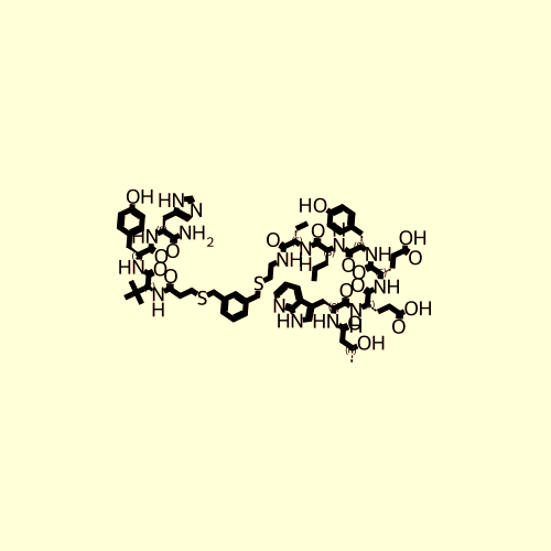 CCC[C@H](NC(=O)[C@H](Cc1ccc(O)cc1)NC(=O)[C@H](CCC(=O)O)NC(=O)[C@H](CCC(=O)O)NC(=O)[C@H](Cc1c[nH]c2ncccc12)NC(=O)C[C@@H](C)O)C(=O)N[C@@H](CC)C(=O)NCCSCc1cccc(CSCCC(=O)N[C@H](C(=O)N[C@@H](Cc2ccc(O)cc2)C(=O)N[C@@H](Cc2cnc[nH]2)C(N)=O)C(C)(C)C)c1